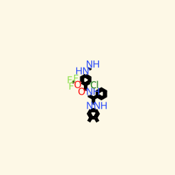 Cc1cc2nc(C(CNC(=O)c3c(Cl)cc(NC=N)cc3OC(F)(F)F)c3ccccc3)[nH]c2cc1C